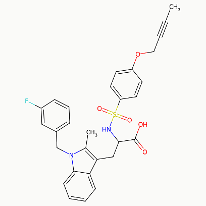 CC#CCOc1ccc(S(=O)(=O)NC(Cc2c(C)n(Cc3cccc(F)c3)c3ccccc23)C(=O)O)cc1